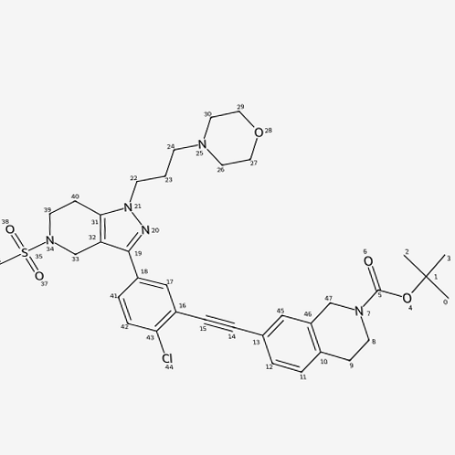 CC(C)(C)OC(=O)N1CCc2ccc(C#Cc3cc(-c4nn(CCCN5CCOCC5)c5c4CN(S(C)(=O)=O)CC5)ccc3Cl)cc2C1